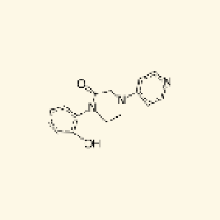 O=C1CN(c2ccncc2)CCN1c1ccccc1O